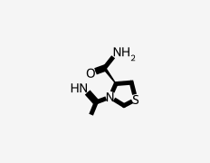 CC(=N)N1CSC[C@@H]1C(N)=O